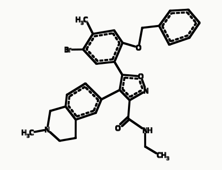 CCNC(=O)c1noc(-c2cc(Br)c(C)cc2OCc2ccccc2)c1-c1ccc2c(c1)CCN(C)C2